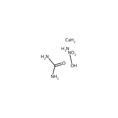 N.NC(N)=O.O=[N+]([O-])O.[CaH2]